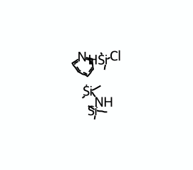 C[SiH](C)Cl.C[Si](C)(C)N[Si](C)(C)C.c1ccncc1